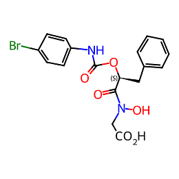 O=C(O)CN(O)C(=O)[C@H](Cc1ccccc1)OC(=O)Nc1ccc(Br)cc1